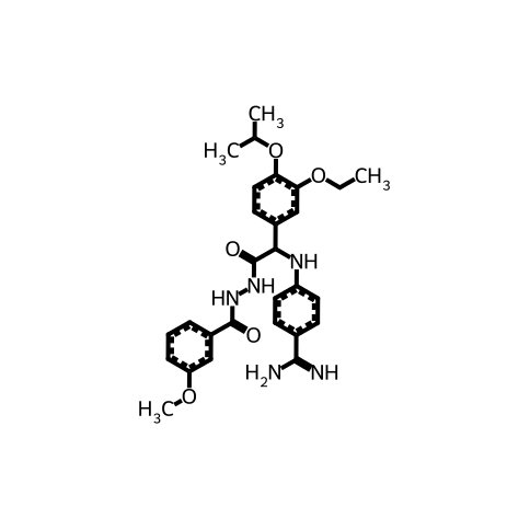 CCOc1cc(C(Nc2ccc(C(=N)N)cc2)C(=O)NNC(=O)c2cccc(OC)c2)ccc1OC(C)C